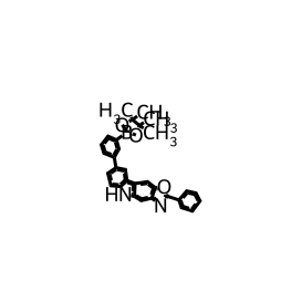 CC1(C)OB(c2cccc(-c3ccc4[nH]c5cc6nc(-c7ccccc7)oc6cc5c4c3)c2)OC1(C)C